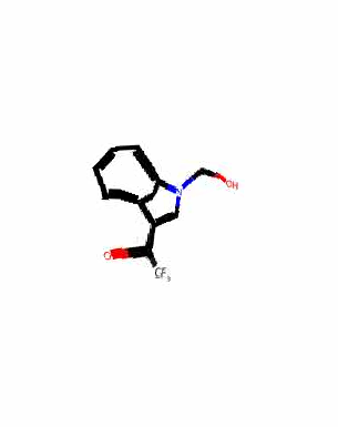 O=C(c1cn(CO)c2ccccc12)C(F)(F)F